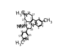 Cc1ccc2c(c1)c1c(n2CC(N=[N+]=[N-])c2ccc(C)nc2)CCN(C)CC1